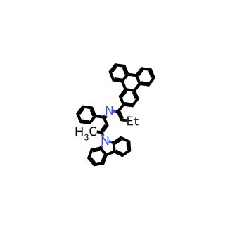 CC/C=C(/N=C(\C=C(/C)n1c2ccccc2c2ccccc21)c1ccccc1)c1ccc2c3ccccc3c3ccccc3c2c1